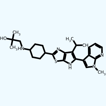 CC(C)c1c(-c2cn(C)c3ncccc23)[nH]c2sc(C3CCC(NCC(C)(C)O)CC3)nc12